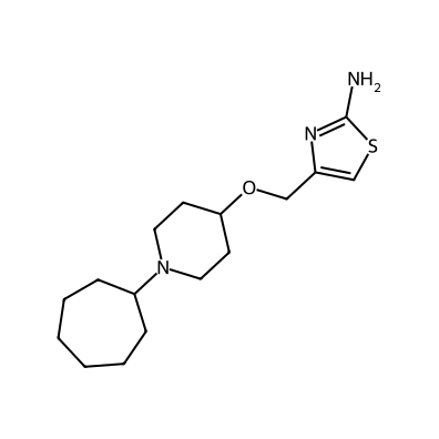 Nc1nc(COC2CCN(C3CCCCCC3)CC2)cs1